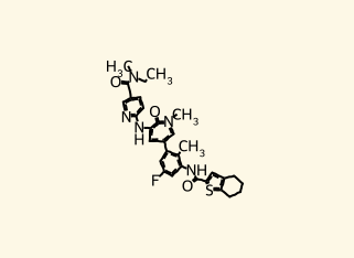 CCN(C)C(=O)c1ccc(Nc2cc(-c3cc(F)cc(NC(=O)c4cc5c(s4)CCCC5)c3C)cn(C)c2=O)nc1